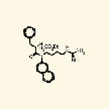 CCOC(=O)[C@H](CCCNC(=N)N)N(C(=O)[C@@H](N)Cc1ccccc1)c1ccc2ccccc2c1